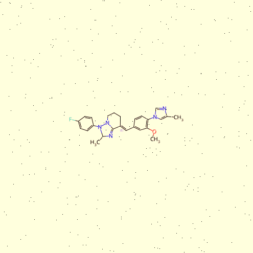 COc1cc(/C=C2\CCCN3C2=NC(C)N3c2ccc(F)cc2)ccc1-n1cnc(C)c1